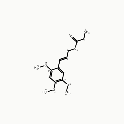 CCC(=O)OC/C=C/c1cc(OC)c(OC)cc1OC